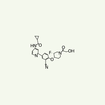 N#Cc1cc(-c2cc(NC(=O)C3CC3)ccn2)ccc1O[C@H]1CCN(C(=O)CO)C[C@H]1F